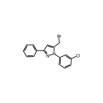 Clc1cccc(-n2nc(-c3ccccc3)cc2CBr)c1